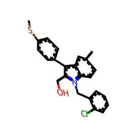 CSc1ccc(-c2c(CO)n(Cc3ccccc3Cl)c3ccc(C)cc23)cc1